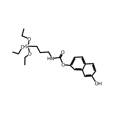 CCO[Si](CCCNC(=O)Oc1ccc2ccc(O)cc2c1)(OCC)OCC